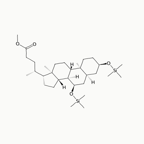 COC(=O)CC[C@@H](C)[C@H]1CC[C@H]2[C@@H]3[C@H](O[Si](C)(C)C)C[C@@H]4C[C@H](O[Si](C)(C)C)CC[C@]4(C)[C@H]3CC[C@]12C